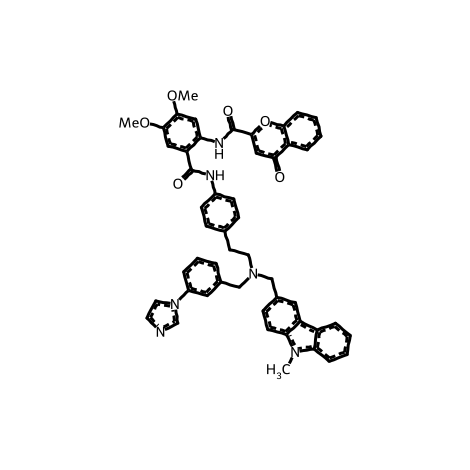 COc1cc(NC(=O)c2cc(=O)c3ccccc3o2)c(C(=O)Nc2ccc(CCN(Cc3cccc(-n4ccnc4)c3)Cc3ccc4c(c3)c3ccccc3n4C)cc2)cc1OC